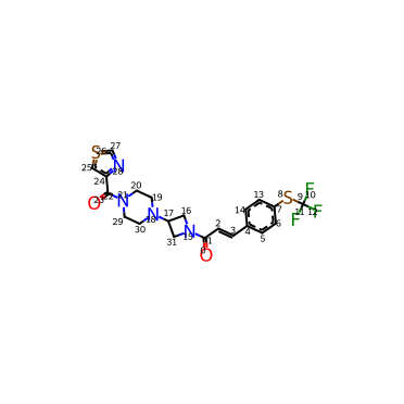 O=C(C=Cc1ccc(SC(F)(F)F)cc1)N1CC(N2CCN(C(=O)c3cscn3)CC2)C1